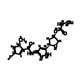 Cn1nc(F)cc1C(=O)Nc1cc([C@@H]2C[C@H](OC(=O)NC(C)(C)C)CO2)[nH]n1